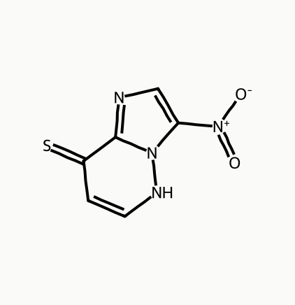 O=[N+]([O-])c1cnc2c(=S)cc[nH]n12